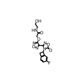 O=C(COc1nonc1-c1noc(=O)n1C1Cc2ccc(F)cc21)NCCO